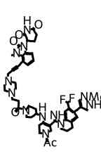 CN/C=C(\C=N)c1cc2c(cc1C(F)F)N(C(=N)C1=C(NC3CCN(C(=O)CCN4CCN(CC#Cc5cccc6c5n(C)c(=O)n6C5CCC(=O)NC5=O)CC4)CC3)CCN(C(C)=O)C1)CCC2